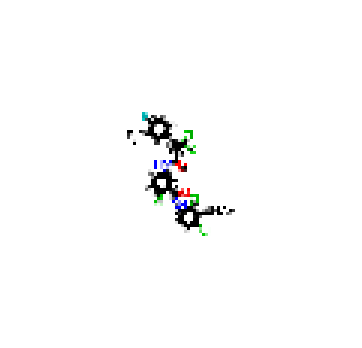 CC(=O)Nc1c(Cl)ccc(NC(=O)c2cc(NC(=O)[C@H]3[C@H](c4ccc(F)c(C(F)(F)F)c4)C3(Cl)Cl)ccc2Cl)c1Cl